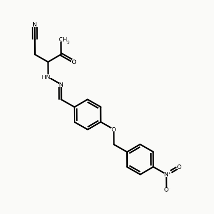 CC(=O)C(CC#N)NN=Cc1ccc(OCc2ccc([N+](=O)[O-])cc2)cc1